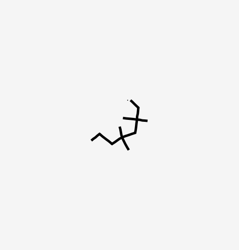 [CH2]CC(C)(C)CC(C)(C)CCC